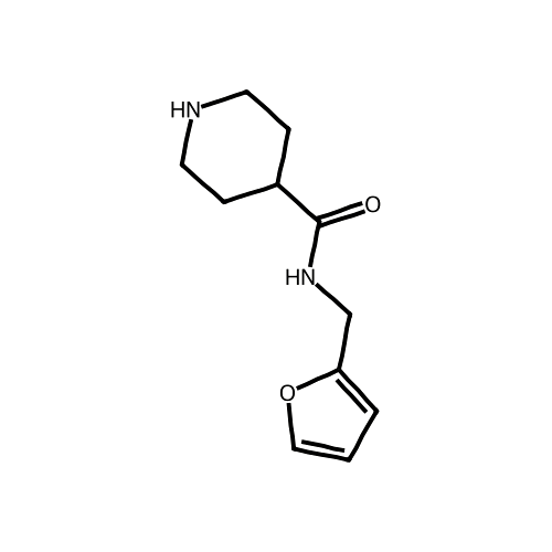 O=C(NCc1ccco1)C1CCNCC1